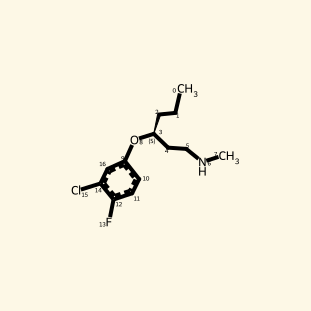 CCC[C@@H](CCNC)Oc1ccc(F)c(Cl)c1